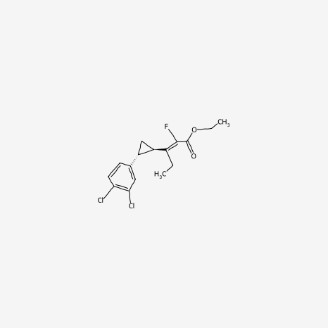 CCOC(=O)/C(F)=C(\CC)[C@@H]1C[C@H]1c1ccc(Cl)c(Cl)c1